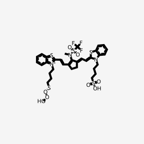 CN(C1=C(/C=C/c2sc3ccccc3[n+]2CCCCSOOO)CC/C1=C\C=C1/Sc2ccccc2N1CCCCS(=O)(=O)O)S(=O)(=O)C(F)(F)F